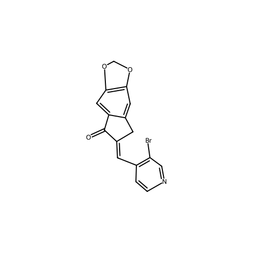 O=C1/C(=C/c2ccncc2Br)Cc2cc3c(cc21)OCO3